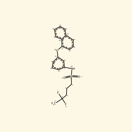 O=S(=O)(CCCC(F)(F)C(F)(F)F)Nc1cccc(Oc2cccc3ccccc23)c1